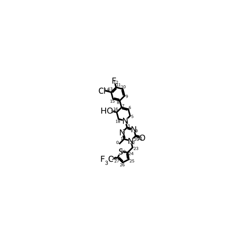 Cc1nc(N2CC=C(c3ccc(F)c(Cl)c3)C(O)C2)nc(=O)n1Cc1ccc(C(F)(F)F)s1